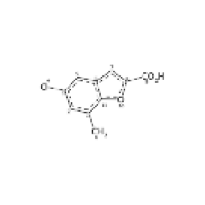 Cc1cc(Cl)cc2cc(C(=O)O)oc12